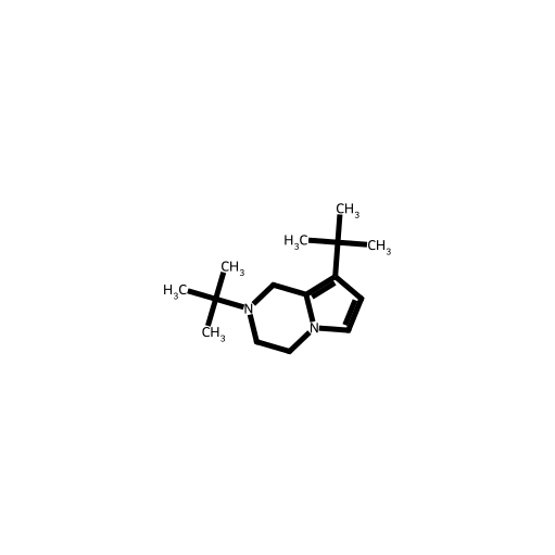 CC(C)(C)c1ccn2c1CN(C(C)(C)C)CC2